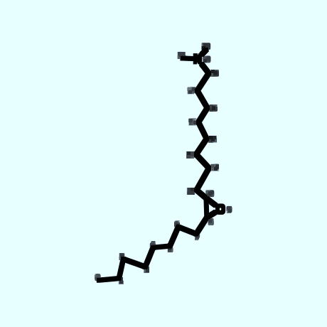 CCCCCCCCC1OC1CCCCCCCCN(C)C